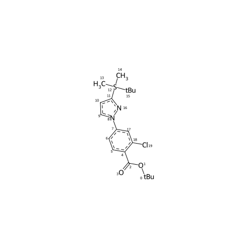 CC(C)(C)OC(=O)c1ccc(-n2ccc(S(C)(C)C(C)(C)C)n2)cc1Cl